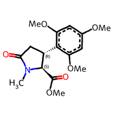 COC(=O)[C@@H]1[C@@H](c2c(OC)cc(OC)cc2OC)CC(=O)N1C